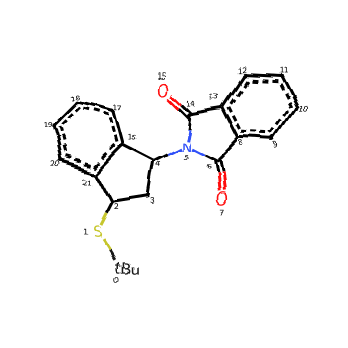 CC(C)(C)SC1CC(N2C(=O)c3ccccc3C2=O)c2ccccc21